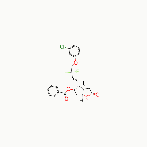 O=C1C[C@@H]2[C@@H](/C=C/C(F)(F)COc3cccc(Cl)c3)[C@H](OC(=O)c3ccccc3)C[C@@H]2O1